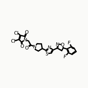 O=C(CN1C(=O)C(Cl)=C(Cl)C1=O)N1CCC(c2nc(C3=NOC(c4c(F)cccc4F)C3)cs2)CC1